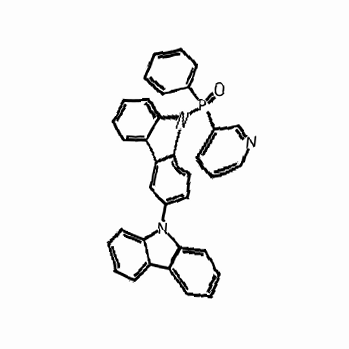 O=P(c1ccccc1)(c1cccnc1)n1c2ccccc2c2cc(-n3c4ccccc4c4ccccc43)ccc21